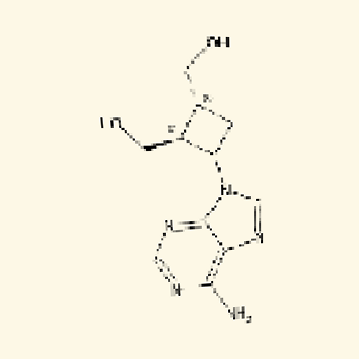 Nc1ncnc2c1ncn2C1C[C@@H](CO)[C@@H]1CO